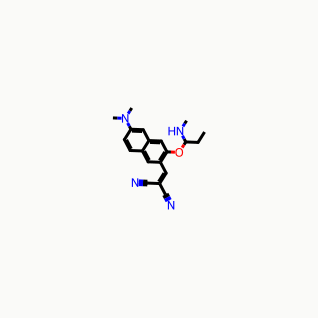 CCC(NC)Oc1cc2cc(N(C)C)ccc2cc1C=C(C#N)C#N